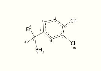 BC(C)(CC)c1ccc(Cl)c(Cl)c1